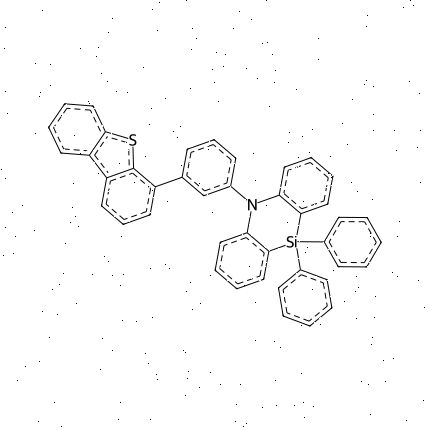 c1ccc([Si]2(c3ccccc3)c3ccccc3N(c3cccc(-c4cccc5c4sc4ccccc45)c3)c3ccccc32)cc1